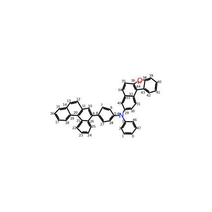 c1ccc(N(c2ccc(-c3cc4ccc5ccccc5c4c4ccccc34)cc2)c2ccc3c(ccc4oc5ccccc5c43)c2)cc1